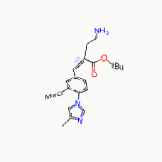 COc1cc(/C=C(/CCN)C(=O)OC(C)(C)C)ccc1-n1cnc(C)c1